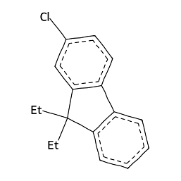 CCC1(CC)c2ccccc2-c2ccc(Cl)cc21